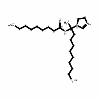 CCCCCCCCCCCCCCCCCCC(C)(NC(=O)CCCCCCCCCCCCCCCCC)N1C=NCC1